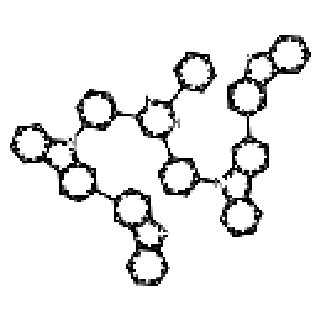 c1ccc(-c2nc(-c3cccc(-n4c5ccccc5c5ccc(-c6ccc7sc8ccccc8c7c6)cc54)c3)cc(-c3cccc(-n4c5ccccc5c5ccc(-c6ccc7sc8ccccc8c7c6)cc54)c3)n2)cc1